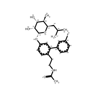 CC(=O)NCCc1ccc(O[C@H]2O[C@H](CC(C)C)[C@H](C)[C@@H](O)[C@H]2O)cc1-c1cccc(F)c1